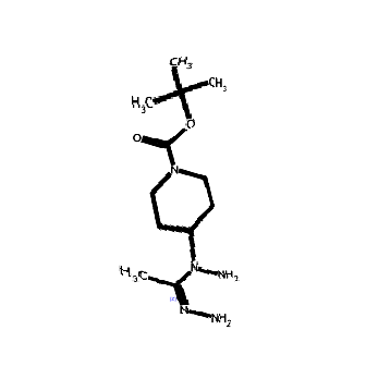 C/C(=N/N)N(N)C1CCN(C(=O)OC(C)(C)C)CC1